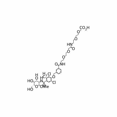 CO[C@H]1O[C@H](CO)[C@@H](O)[C@H](O)[C@H]1NC(=O)c1cc(Cl)c(OCc2cccc(C(=O)NCCOCCOCC(=O)NCCOCCOCC(=O)O)c2)c(Cl)c1C